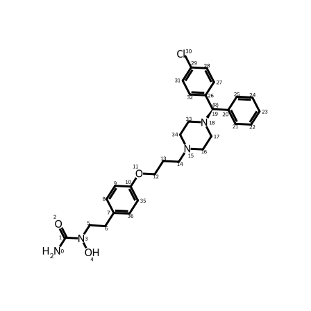 NC(=O)N(O)CCc1ccc(OCCCN2CCN([C@H](c3ccccc3)c3ccc(Cl)cc3)CC2)cc1